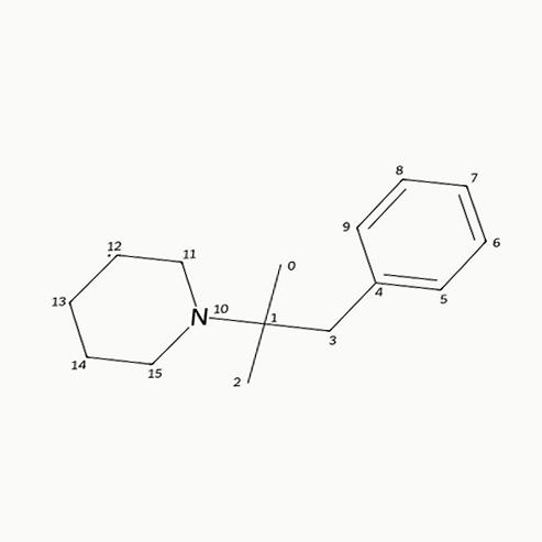 CC(C)(Cc1ccccc1)N1C[CH]CCC1